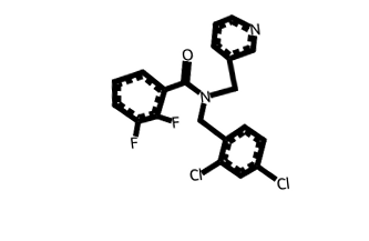 O=C(c1cccc(F)c1F)N(Cc1cccnc1)Cc1ccc(Cl)cc1Cl